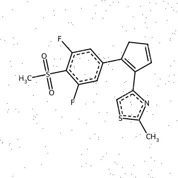 Cc1nc(C2=C(c3cc(F)c(S(C)(=O)=O)c(F)c3)CC=C2)cs1